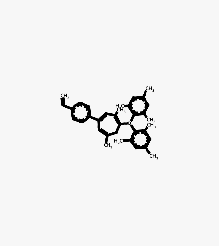 C=Cc1ccc(C2=CC(C)=C(B(c3c(C)cc(C)cc3C)c3c(C)cc(C)cc3C)CC(C)=C2)cc1